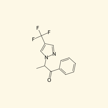 CC(C(=O)c1ccccc1)n1cc(C(F)(F)F)cn1